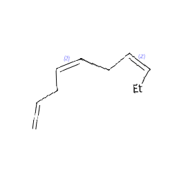 C=CC/C=C\C/C=C\CC